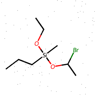 CCC[Si](C)(OCC)OC(C)Br